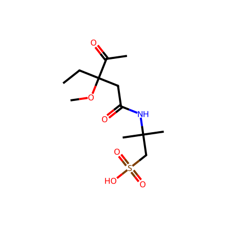 CCC(CC(=O)NC(C)(C)CS(=O)(=O)O)(OC)C(C)=O